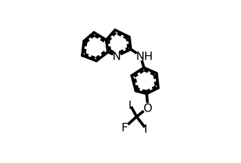 FC(I)(I)Oc1ccc(Nc2ccc3ccccc3n2)cc1